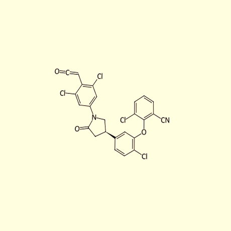 N#Cc1cccc(Cl)c1Oc1cc([C@H]2CC(=O)N(c3cc(Cl)c(C=C=O)c(Cl)c3)C2)ccc1Cl